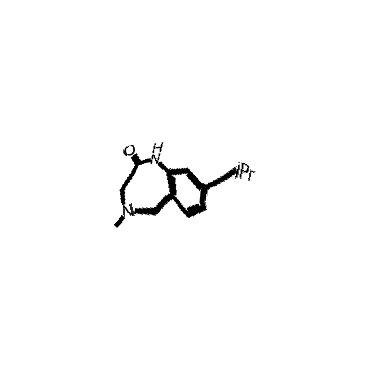 CC(C)c1ccc2c(c1)NC(=O)CN(C)C2